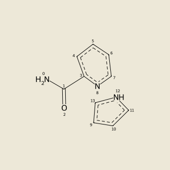 NC(=O)c1ccccn1.c1cc[nH]c1